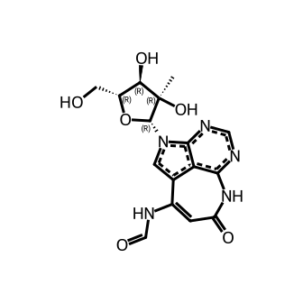 C[C@@]1(O)[C@H](O)[C@@H](CO)O[C@H]1n1cc2c3c(ncnc31)NC(=O)C=C2NC=O